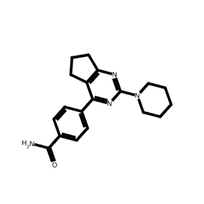 NC(=O)c1ccc(-c2nc(N3CCCCC3)nc3c2CCC3)cc1